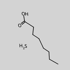 CCCCCCCC(=O)O.S